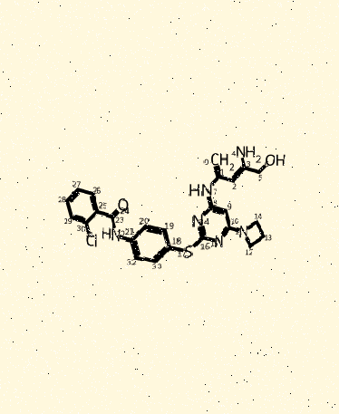 C=C(/C=C(\N)CO)Nc1cc(N2CCC2)nc(Sc2ccc(NC(=O)c3ccccc3Cl)cc2)n1